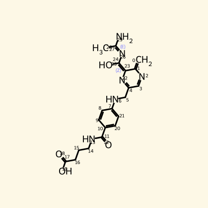 C=c1ncc(CNc2ccc(C(=O)NCCCC(=O)O)cc2)n/c1=C(O)/N=C(\C)N